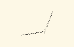 CCCCCCCCCCCCCCCCC(C)CCCCCCCCCCCCCCCC